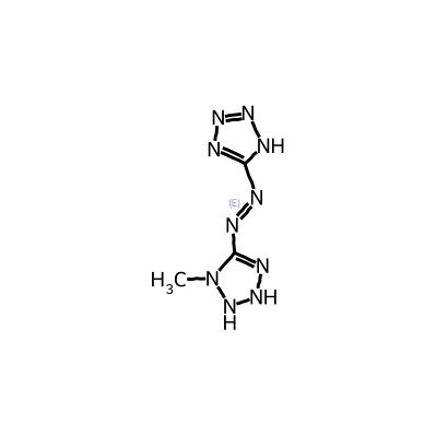 CN1NNN=C1/N=N/c1nnn[nH]1